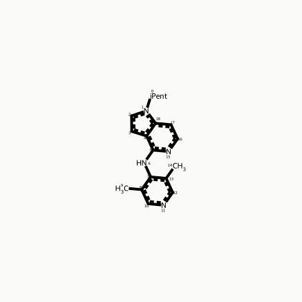 CCCC(C)n1ccc2c(Nc3c(C)cncc3C)nccc21